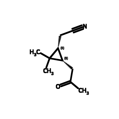 CC(=O)C[C@H]1[C@@H](CC#N)C1(C)C